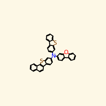 c1ccc2c(c1)ccc1c3ccc(N(c4ccc5c(c4)oc4ccccc45)c4ccc5c(c4)sc4ccccc45)cc3sc21